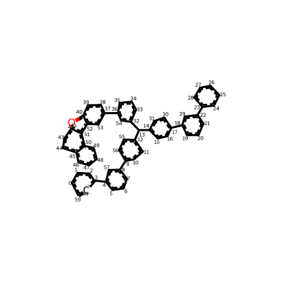 c1ccc(-c2cccc(-c3ccc(C(c4ccc(-c5cccc(-c6ccccc6)c5)cc4)c4cccc(-c5ccc6oc7ccc8ccccc8c7c6c5)c4)cc3)c2)cc1